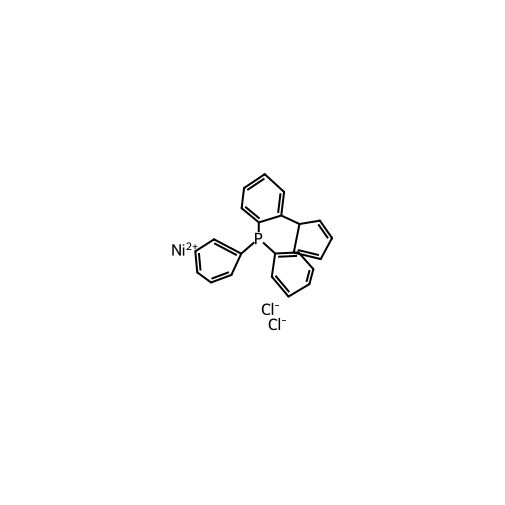 C1=CC(c2ccccc2P(c2ccccc2)c2ccccc2)C=C1.[Cl-].[Cl-].[Ni+2]